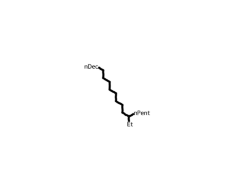 CCCCCCCCCCCCCCCCCC[C](CC)CCCCC